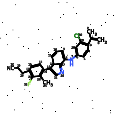 C=C(C)c1ccc(NC2=CC=CC3C(c4ccc(CCC#N)c(F)c4C)=CN=C23)cc1Cl